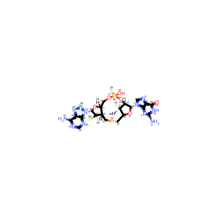 Nc1nc2c(ncn2[C@@H]2OC3CPC[C@@H]4[C@@H](COP(O)(=S)O[C@@H]2[C@@H]3F)O[C@@H](n2nnc3c(N)ncnc32)C4(F)F)c(=O)[nH]1